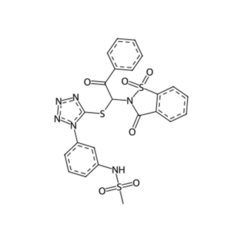 CS(=O)(=O)Nc1cccc(-n2nnnc2SC(C(=O)c2ccccc2)N2C(=O)c3ccccc3S2(=O)=O)c1